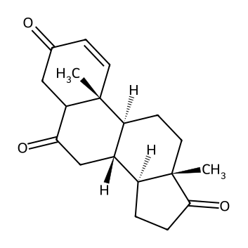 C[C@]12C=CC(=O)CC1C(=O)C[C@@H]1[C@@H]2CC[C@]2(C)C(=O)CC[C@@H]12